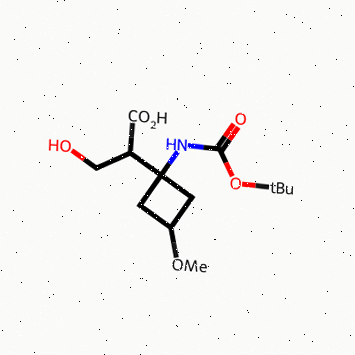 COC1CC(NC(=O)OC(C)(C)C)(C(CO)C(=O)O)C1